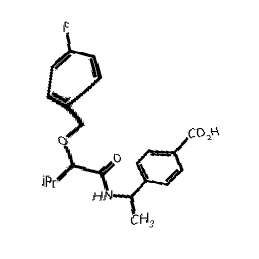 CC(NC(=O)C(OCc1ccc(F)cc1)C(C)C)c1ccc(C(=O)O)cc1